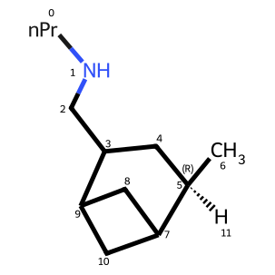 CCCNCC1C[C@@H](C)C2CC1C2